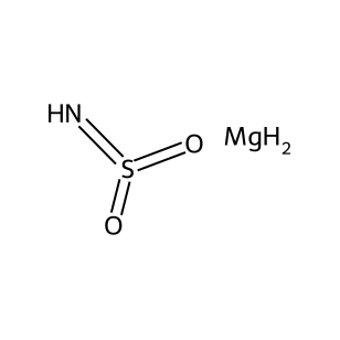 N=S(=O)=O.[MgH2]